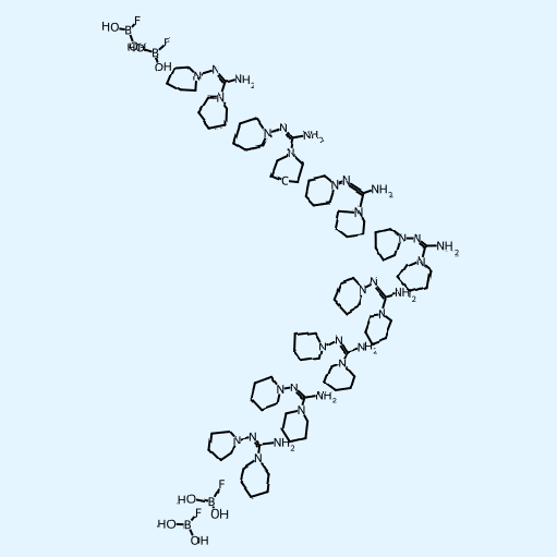 NC(=NN1CCCCC1)N1CCCCC1.NC(=NN1CCCCC1)N1CCCCC1.NC(=NN1CCCCC1)N1CCCCC1.NC(=NN1CCCCC1)N1CCCCC1.NC(=NN1CCCCC1)N1CCCCC1.NC(=NN1CCCCC1)N1CCCCC1.NC(=NN1CCCCC1)N1CCCCC1.NC(=NN1CCCCC1)N1CCCCC1.OB(O)F.OB(O)F.OB(O)F.OB(O)F